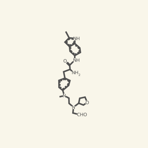 Cc1cc2cc(NC(=O)C(N)Cc3ccc(N(C)CCN(CC=O)C4CCOC4)cc3)ccc2[nH]1